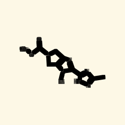 CCn1c(-c2nc(C)n[nH]2)nc2c1CN(C(=O)OC(C)(C)C)C2